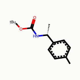 Cc1ccc([C@@H](C)NC(=O)OC(C)(C)C)cc1